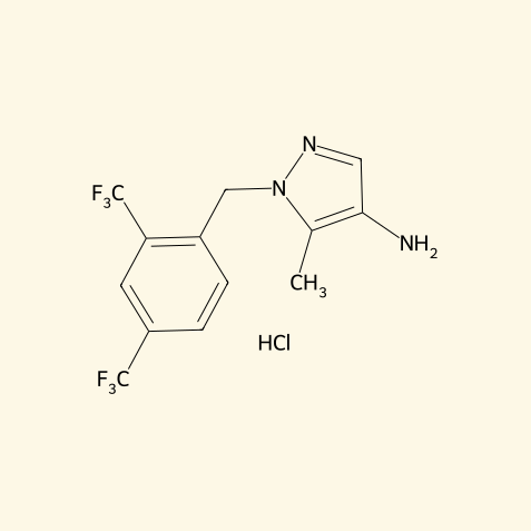 Cc1c(N)cnn1Cc1ccc(C(F)(F)F)cc1C(F)(F)F.Cl